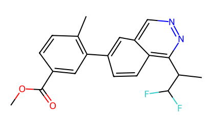 COC(=O)c1ccc(C)c(-c2ccc3c(C(C)C(F)F)nncc3c2)c1